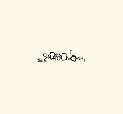 CC(C)(C)OC(=O)N1CCN(CC2(O)CCN(c3ccc(N)cc3F)CC2)CC1